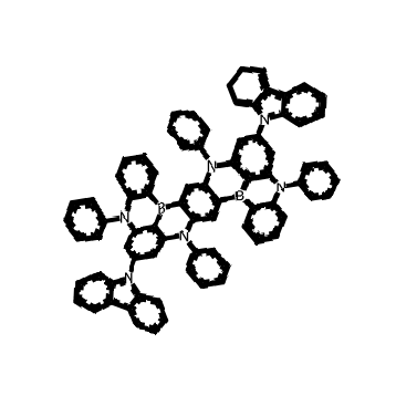 C1=c2c(n(-c3cc4c5c(c3)N(c3ccccc3)c3cc6c(cc3B5c3ccccc3N4c3ccccc3)N(c3ccccc3)c3cc(-n4c5ccccc5c5ccccc54)cc4c3B6c3ccccc3N4c3ccccc3)c3ccccc23)=CCC1